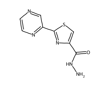 NNC(=O)c1csc(-c2cnccn2)n1